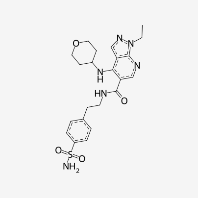 CCn1ncc2c(NC3CCOCC3)c(C(=O)NCCc3ccc(S(N)(=O)=O)cc3)cnc21